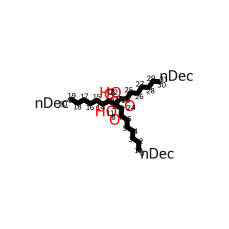 CCCCCCCCCCCCCCCCC(=O)[CH]C(O)(C(=O)CCCCCCCCCCCCCCCC)C(O)C(=O)CCCCCCCCCCCCCCCC